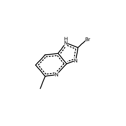 Cc1ccc2[nH]c(Br)nc2n1